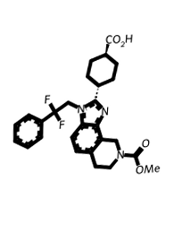 COC(=O)N1CCc2ccc3c(nc([C@H]4CC[C@H](C(=O)O)CC4)n3CC(F)(F)c3ccccc3)c2C1